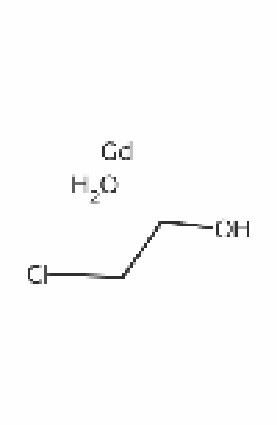 O.OCCCl.[Gd]